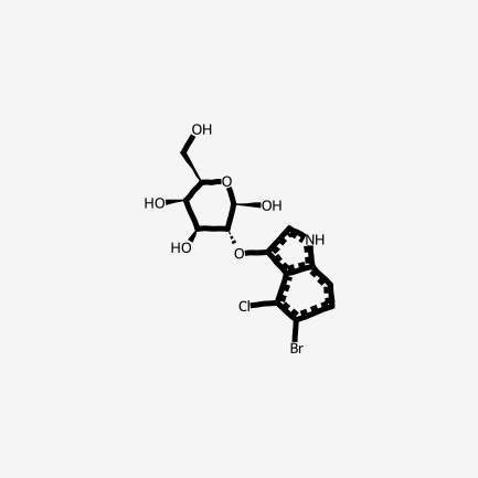 OC[C@H]1O[C@@H](O)[C@H](Oc2c[nH]c3ccc(Br)c(Cl)c23)[C@@H](O)[C@H]1O